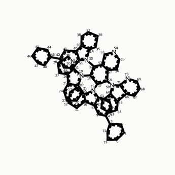 c1ccc(-c2ccc3c(c2)c2ccccc2n3-c2c(-n3c4ccccc4c4cccnc43)c(-n3c4ccccc4c4cc(-c5ccccc5)ccc43)c3cnccc3c2-n2c3ccccc3c3cccnc32)cc1